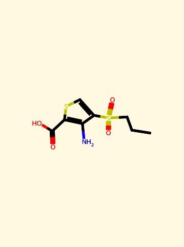 CCCS(=O)(=O)c1csc(C(=O)O)c1N